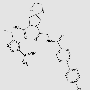 C[C@H](NC(=O)C1CC2(CN1C(=O)CNC(=O)c1ccc(-c3ccc(Cl)cn3)cc1)OCCO2)c1cc(C(=N)N)cs1